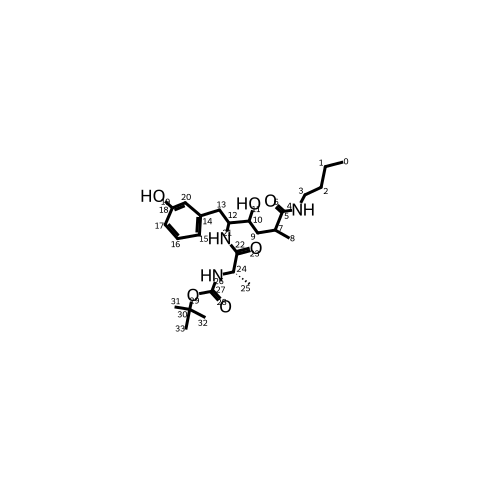 CCCCNC(=O)C(C)CC(O)C(Cc1cccc(O)c1)NC(=O)[C@H](C)NC(=O)OC(C)(C)C